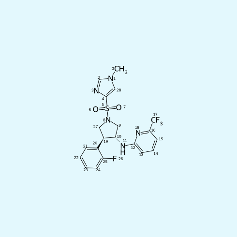 Cn1cnc(S(=O)(=O)N2C[C@H](Nc3cccc(C(F)(F)F)n3)[C@@H](c3ccccc3F)C2)c1